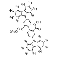 [2H]c1c([2H])c([2H])c2c(c1[2H])c1c([2H])c([2H])c([2H])c([2H])c1n2-c1ccc(-c2ccc(-n3c4c([2H])c([2H])c([2H])c([2H])c4c4c([2H])c([2H])c([2H])c([2H])c43)cc2C(=O)OO)c(OOOC)c1